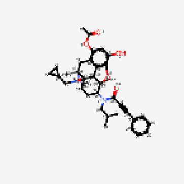 CC(=O)Oc1cc(O)c2c3c1C[C@@H]1[C@@H]4CC[C@H](N(CC(C)C)C(=O)C#Cc5ccccc5)[C@H](O2)[C@]34CCN1CC1CC1